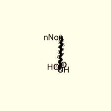 CCCCCCCCCCCCCCCCCCCC(=O)C(O)O